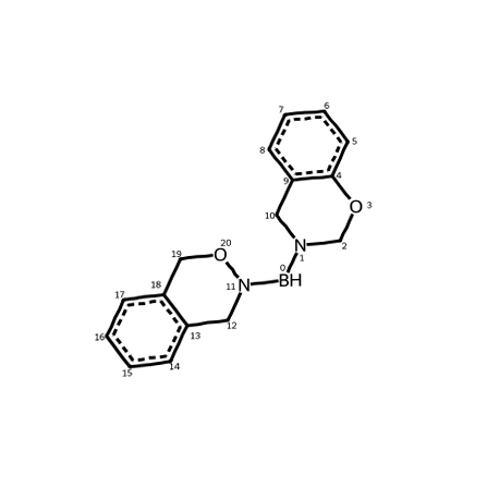 B(N1COc2ccccc2C1)N1Cc2ccccc2CO1